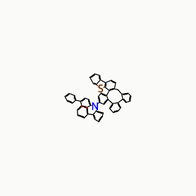 c1ccc(-c2ccc(N(c3ccc4c(c3)-c3ccccc3-c3ccccc3Cc3ccc5c(sc6ccccc65)c3-4)c3ccccc3-c3ccccc3)cc2)cc1